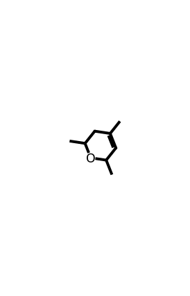 CC1=CC(C)OC(C)C1